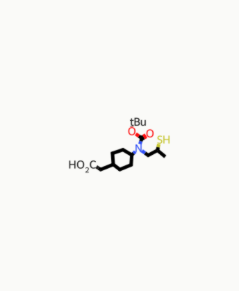 CC(S)CN(C(=O)OC(C)(C)C)C1CCC(CC(=O)O)CC1